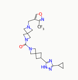 O=C(N1CC2(CC(c3nc(C4CC4)n[nH]3)C2)C1)N1CC2(CN(Cc3conc3C(F)(F)F)C2)C1